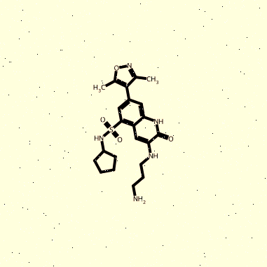 Cc1noc(C)c1-c1cc(S(=O)(=O)NC2CCCC2)c2cc(NCCCN)c(=O)[nH]c2c1